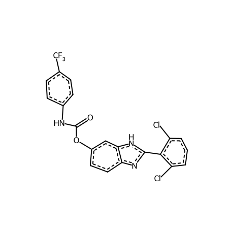 O=C(Nc1ccc(C(F)(F)F)cc1)Oc1ccc2nc(-c3c(Cl)cccc3Cl)[nH]c2c1